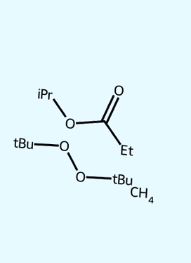 C.CC(C)(C)OOC(C)(C)C.CCC(=O)OC(C)C